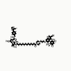 COc1cc(Nc2c(C#N)cnc3cc(OCCCN4CCN(C(=O)CCCCCCCCCCCCC(=O)N[C@H](C(=O)N5CC(O)CC5C(=O)NCc5ccc(-c6scnc6C)cc5)C(C)(C)C)CC4)c(OC)cc23)c(Cl)cc1Cl